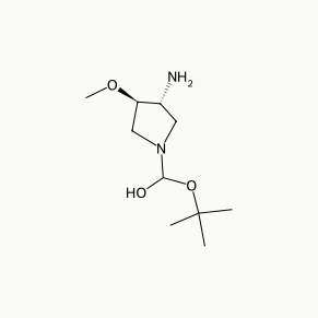 CO[C@@H]1CN(C(O)OC(C)(C)C)C[C@H]1N